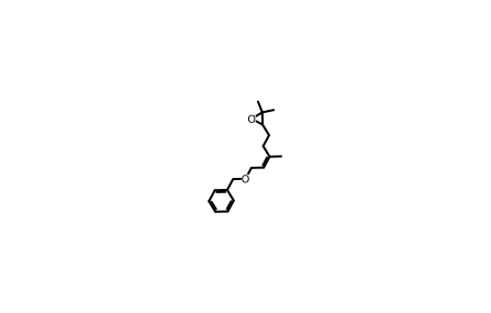 CC(=CCOCc1ccccc1)CCC1OC1(C)C